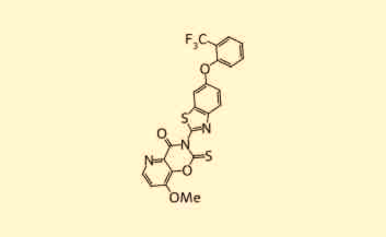 COc1ccnc2c(=O)n(-c3nc4ccc(Oc5ccccc5C(F)(F)F)cc4s3)c(=S)oc12